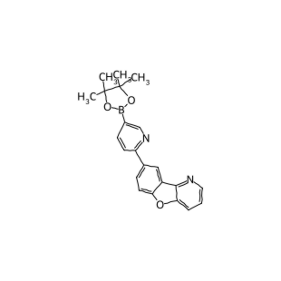 CC1(C)OB(c2ccc(-c3ccc4oc5cccnc5c4c3)nc2)OC1(C)C